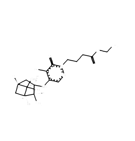 CCOC(=O)CCCn1ncc(N[C@@H]2C[C@H]3C[C@H]([C@@H]2C)C3(C)C)c(Br)c1=O